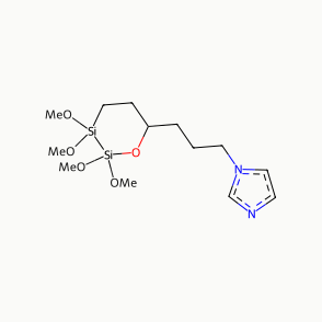 CO[Si]1(OC)CCC(CCCn2ccnc2)O[Si]1(OC)OC